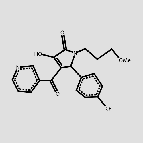 COCCCN1C(=O)C(O)=C(C(=O)c2cccnc2)C1c1ccc(C(F)(F)F)cc1